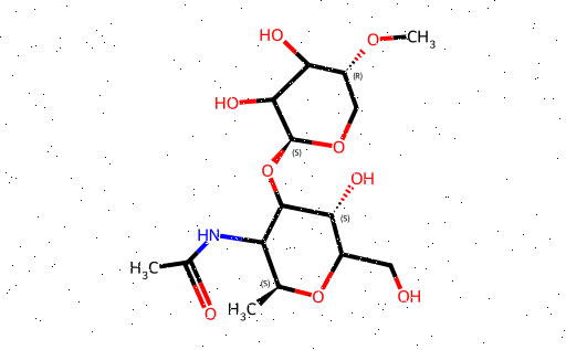 CO[C@@H]1CO[C@@H](OC2C(NC(C)=O)[C@H](C)OC(CO)[C@H]2O)C(O)C1O